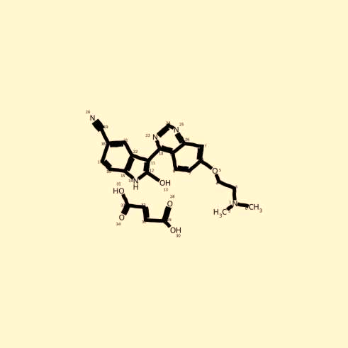 CN(C)CCOc1ccc2c(-c3c(O)[nH]c4ccc(C#N)cc34)ncnc2c1.O=C(O)/C=C/C(=O)O